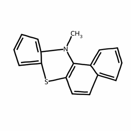 CN1c2ccccc2Sc2ccc3ccccc3c21